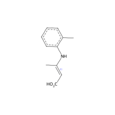 C/C(=C\C(=O)O)Nc1ccccc1C